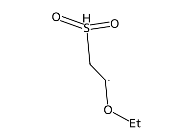 CCO[CH]C[SH](=O)=O